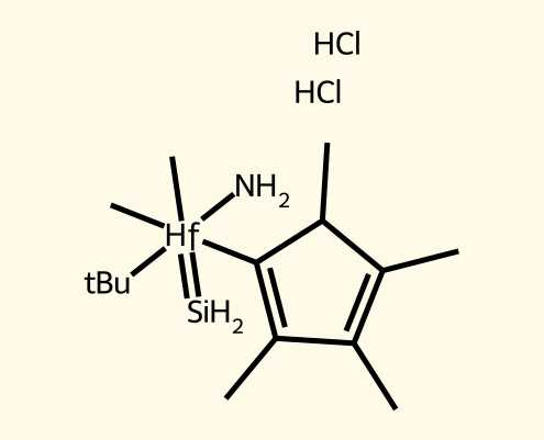 CC1=C(C)C(C)[C]([Hf]([CH3])([CH3])([NH2])(=[SiH2])[C](C)(C)C)=C1C.Cl.Cl